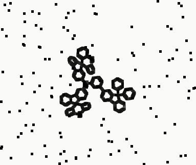 c1ccc(C2(c3ccccc3)c3ccccc3-c3ccc(-c4cccc(N(c5ccc6c(c5)-c5ccccc5C65c6ccccc6Sc6ccccc65)c5ccc6c(c5)C5(c7ccccc7Sc7ccccc75)c5ccccc5-6)c4)cc32)cc1